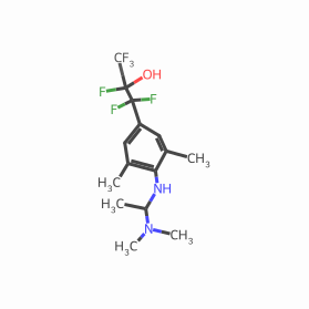 Cc1cc(C(F)(F)C(O)(F)C(F)(F)F)cc(C)c1NC(C)N(C)C